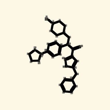 CCN1CCC(CN(C(=O)c2cc(Cc3ccccc3)on2)c2ccc([As]3SCCS3)cc2)CC1